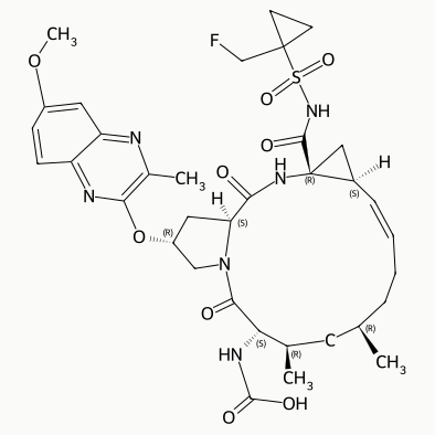 COc1ccc2nc(O[C@@H]3C[C@H]4C(=O)N[C@]5(C(=O)NS(=O)(=O)C6(CF)CC6)C[C@H]5C=CCC[C@@H](C)C[C@@H](C)[C@H](NC(=O)O)C(=O)N4C3)c(C)nc2c1